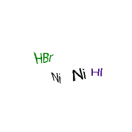 Br.I.[Ni].[Ni]